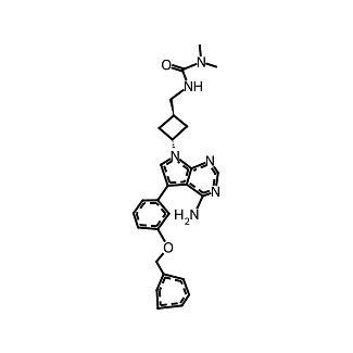 CN(C)C(=O)NC[C@H]1C[C@H](n2cc(-c3cccc(OCc4ccccc4)c3)c3c(N)ncnc32)C1